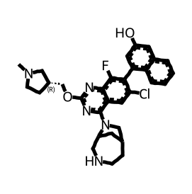 CN1CC[C@@H](COc2nc(N3CC4CCNCC3C4)c3cc(Cl)c(-c4cc(O)cc5ccccc45)c(F)c3n2)C1